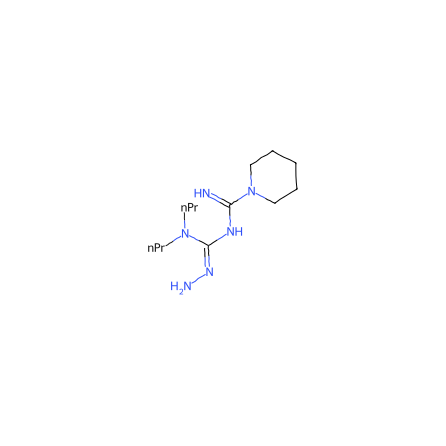 CCCN(CCC)C(=NN)NC(=N)N1CCCCC1